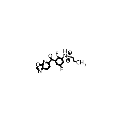 CCCS(=O)(=O)Nc1cc(F)cc(C(=O)c2ccc3ncoc3n2)c1F